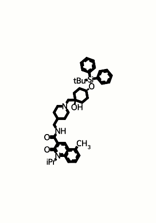 Cc1cccc2c1cc(C(=O)NCC1CCN(C[C@]3(O)CC[C@@H](O[Si](c4ccccc4)(c4ccccc4)C(C)(C)C)CC3)CC1)c(=O)n2C(C)C